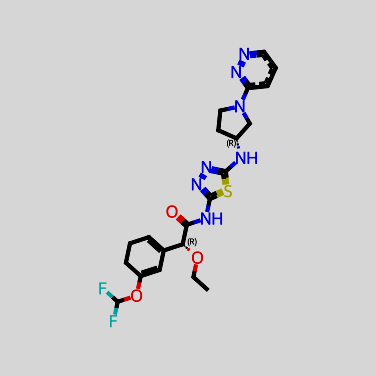 CCO[C@@H](C(=O)Nc1nnc(N[C@@H]2CCN(c3cccnn3)C2)s1)C1=CCCC(OC(F)F)=C1